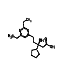 CCc1cc(CC[C@](O)(CC(=O)O)C2CCCC2)cc(CC)n1